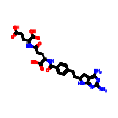 Nc1nc(N)c2c(n1)NC(CCc1ccc(C(=O)N[C@@H](CCC(=O)N[C@@H](CCC(=O)O)C(=O)O)C(=O)O)cc1)C2